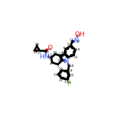 O=C(N[C@@H]1CCc2c(c3cc(C=NO)ccc3n2Cc2cccc(F)c2)C1)C1CC1